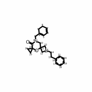 O=C1N(CC2=CC=CCC2)CC2(CN(CCc3ccccc3)C2)OC12CC2